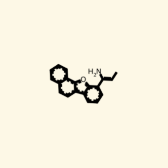 C/C=C(\N)c1cccc2c1oc1c3ccccc3ccc21